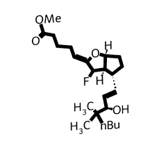 CCCCC(C)(C)[C@H](O)C=C[C@H]1CC[C@@H]2OC(=CCCCC(=O)OC)C(F)[C@@H]21